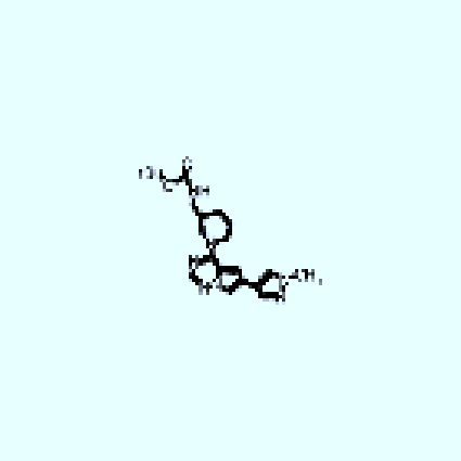 Cn1cc(-c2cc3c(N4CCCC(CNC(=O)OC(C)(C)C)C4)ncnn3c2)cn1